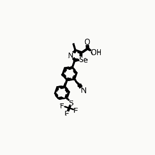 Cc1nc(-c2ccc(-c3cccc(SC(F)(F)F)c3)c(C#N)c2)[se]c1C(=O)O